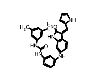 Cc1cc(C)cc(NC(=O)Nc2cccc(Nc3ccc4c(c3)NC(=O)C4=Cc3ccc[nH]3)c2)c1